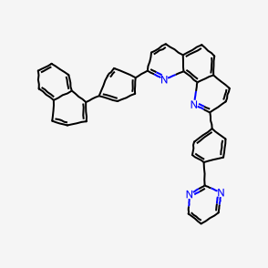 c1cnc(-c2ccc(-c3ccc4ccc5ccc(-c6ccc(-c7cccc8ccccc78)cc6)nc5c4n3)cc2)nc1